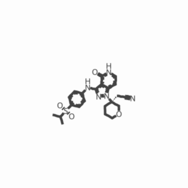 CC(C)S(=O)(=O)c1ccc(Nc2nn([C@]3(CC#N)CCCOC3)c3cc[nH]c(=O)c23)cc1